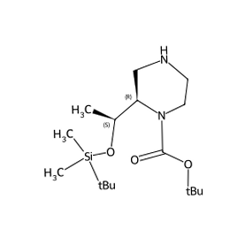 C[C@H](O[Si](C)(C)C(C)(C)C)[C@H]1CNCCN1C(=O)OC(C)(C)C